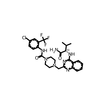 CC(C)[C@H](Nc1nc(CN2CCN(C(=O)Nc3ccc(Cl)cc3C(F)(F)F)CC2)nc2ccccc12)C(N)=O